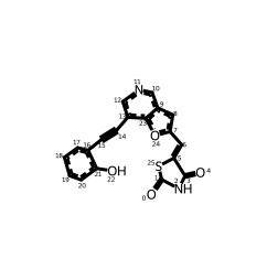 O=C1NC(=O)C(=Cc2cc3cncc(C#Cc4ccccc4O)c3o2)S1